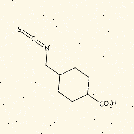 O=C(O)C1CCC(CN=C=S)CC1